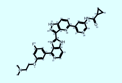 CN(C)CCOc1cc(F)cc(-c2nccc3[nH]c(-c4n[nH]c5ccc(-c6cncc(NC(=O)C7CC7)c6)nc45)nc23)c1